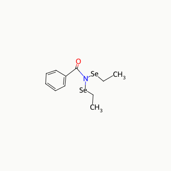 CC[Se]N([Se]CC)C(=O)c1ccccc1